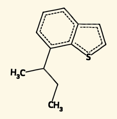 CCC(C)c1cccc2ccsc12